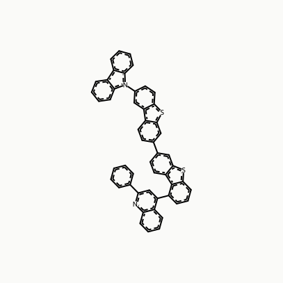 c1ccc(-c2cc(-c3cccc4sc5cc(-c6ccc7c(c6)sc6ccc(-n8c9ccccc9c9ccccc98)cc67)ccc5c34)c3ccccc3n2)cc1